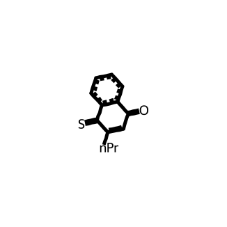 CCCC1=CC(=O)c2ccccc2C1=S